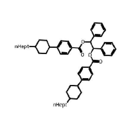 CCCCCCCC1CCC(c2ccc(C(=O)OC(c3ccccc3)C(OC(=O)c3ccc(C4CCC(CCCCCCC)CC4)cc3)c3ccccc3)cc2)CC1